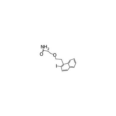 NC(=O)CCOCCc1c(I)ccc2ccccc12